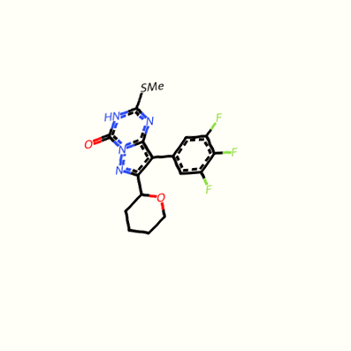 CSc1nc2c(-c3cc(F)c(F)c(F)c3)c(C3CCCCO3)nn2c(=O)[nH]1